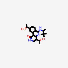 CC(O)c1ccc2c(NC(C)C(C)(C)C)nc3c([C@H](C)O)c[nH]c(=O)c3c2c1